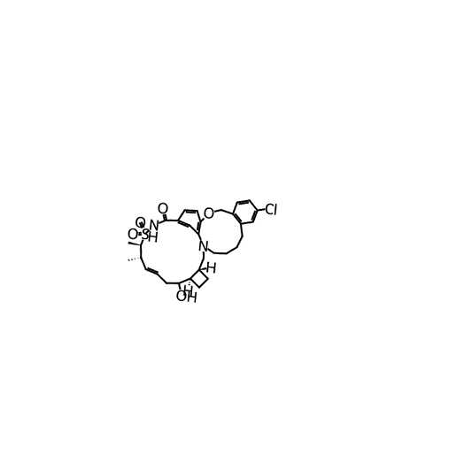 C[C@@H]1[C@@H](C)/C=C/CC(O)[C@@H]2CC[C@H]2CN2CCCCc3cc(Cl)ccc3COc3ccc(cc32)C(=O)NS1(=O)=O